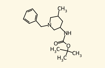 CC1CC(NC(=O)OC(C)(C)C)CN(Cc2ccccc2)C1